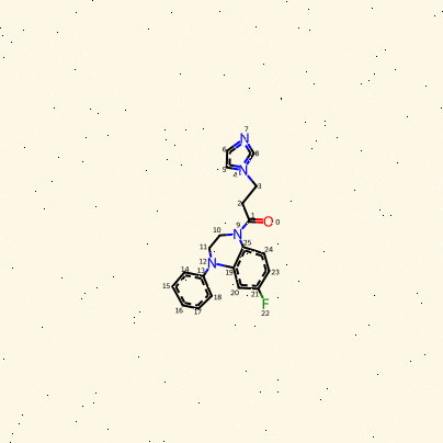 O=C(CCn1ccnc1)N1CCN(c2ccccc2)c2cc(F)ccc21